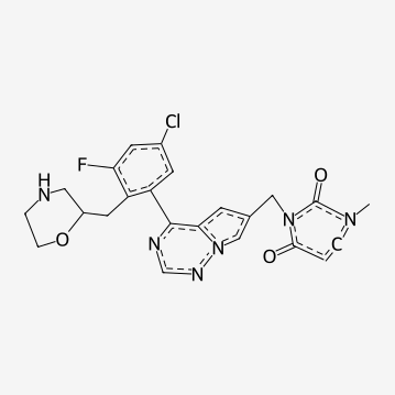 Cn1ccc(=O)n(Cc2cc3c(-c4cc(Cl)cc(F)c4CC4CNCCO4)ncnn3c2)c1=O